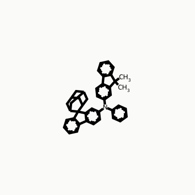 CC1(C)c2ccccc2-c2ccc(N(c3ccccc3)c3ccc4c(c3)C3(c5ccccc5-4)C4CC5CC(C4)CC3C5)cc21